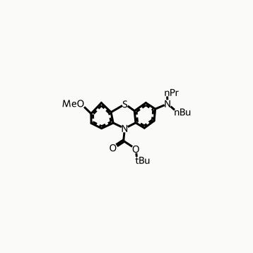 CCCCN(CCC)c1ccc2c(c1)Sc1cc(OC)ccc1N2C(=O)OC(C)(C)C